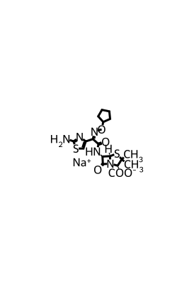 CC1(C)S[C@@H]2[C@@H](NC(=O)/C(=N\OC3CCCC3)c3csc(N)n3)C(=O)N2[C@H]1C(=O)[O-].[Na+]